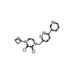 O=c1c(=O)n(C23CC(C2)C3)ccn1Cc1ccc(-c2cccnc2)nn1